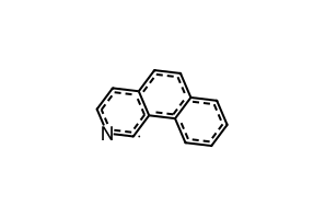 [c]1nccc2ccc3ccccc3c12